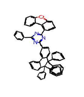 c1ccc(-c2nc(-c3ccc4c(c3)-c3ccccc3C(c3ccccc3)(c3ccccc3)C4(c3ccccc3)c3ccccc3)nc(-c3cccc4oc5ccccc5c34)n2)cc1